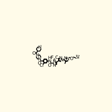 Cc1cn(COCC[Si](C)(C)C)nc1-n1cc(-c2cnc(C(=O)Nc3ccc(C(=O)N4CCN(C(=O)C5CCN(C)CC5)CC4)c(Cl)c3)n2C)c(C(F)(F)F)n1